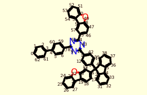 c1ccc(-c2ccc(-c3nc(-c4ccc(C5(c6ccc7c(c6)oc6ccccc67)c6ccccc6-c6ccccc65)cc4)nc(-c4ccc5oc6ccccc6c5c4)n3)cc2)cc1